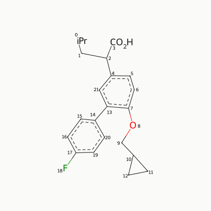 CC(C)CC(C(=O)O)c1ccc(OCC2CC2)c(-c2ccc(F)cc2)c1